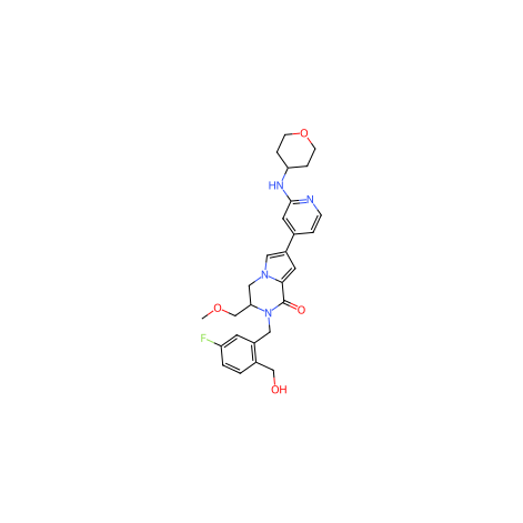 COCC1Cn2cc(-c3ccnc(NC4CCOCC4)c3)cc2C(=O)N1Cc1cc(F)ccc1CO